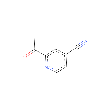 CC(=O)c1cc(C#N)ccn1